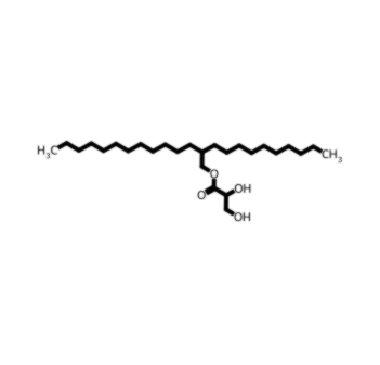 CCCCCCCCCCCCC(CCCCCCCCCC)COC(=O)C(O)CO